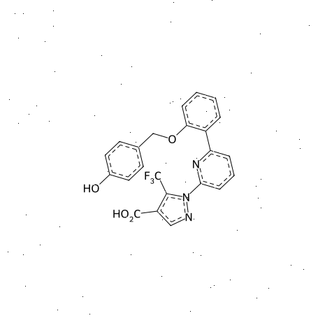 O=C(O)c1cnn(-c2cccc(-c3ccccc3OCc3ccc(O)cc3)n2)c1C(F)(F)F